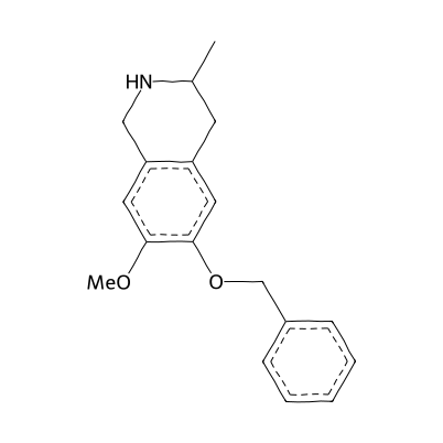 COc1cc2c(cc1OCc1ccccc1)CC(C)NC2